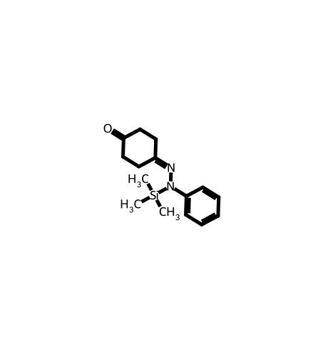 C[Si](C)(C)N(N=C1CCC(=O)CC1)c1ccccc1